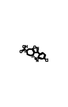 N#C[C@@H]1CC[C@@H](C(=O)O)Cc2onc(-c3ccc(Cl)cc3)c21